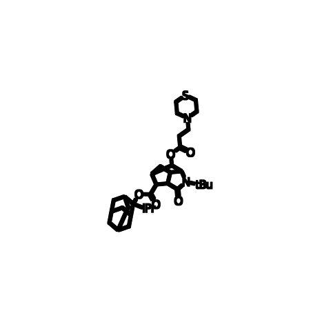 CC(C)C1(OC(=O)C2C3CC4C2C(=O)N(C(C)(C)C)C4C3OC(=O)CCN2CCSCC2)C2CC3CC(C2)CC1C3